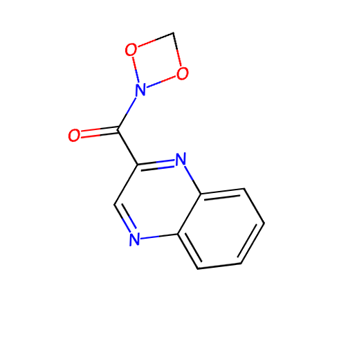 O=C(c1cnc2ccccc2n1)N1OCO1